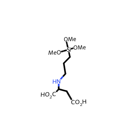 CO[Si](CCCNC(CC(=O)O)C(=O)O)(OC)OC